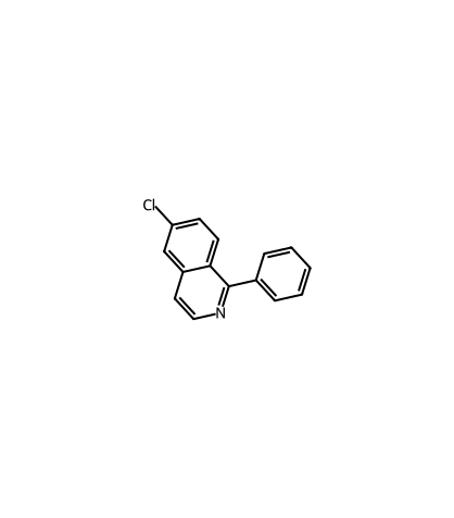 Clc1ccc2c(-c3ccccc3)nccc2c1